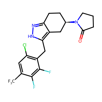 O=C1CCCN1[C@@H]1CCc2n[nH]c(Cc3c(Cl)cc(C(F)(F)F)c(F)c3F)c2C1